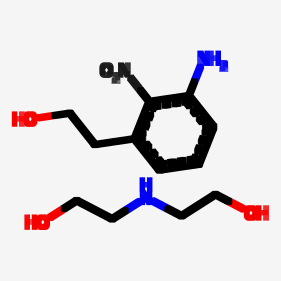 Nc1cccc(CCO)c1[N+](=O)[O-].OCCNCCO